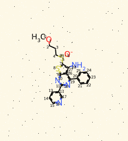 COCCC[S@+]([O-])c1sc2nc(-c3cccnc3)nc(-c3ccccc3)c2c1N